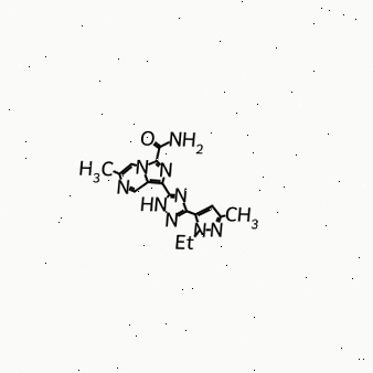 CCn1nc(C)cc1-c1n[nH]c(-c2nc(C(N)=O)n3cc(C)ncc23)n1